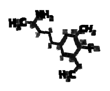 CCc1cc(CCCC(C)N)cc(C)c1F